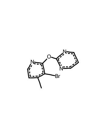 Cc1ccnc(Oc2ncccn2)c1Br